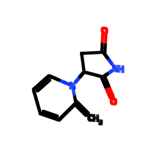 C=C1C=CC=CN1C1CC(=O)NC1=O